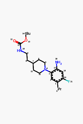 CC(C)c1cc(N2CCC(CCNC(=O)OC(C)(C)C)CC2)c(N)cc1F